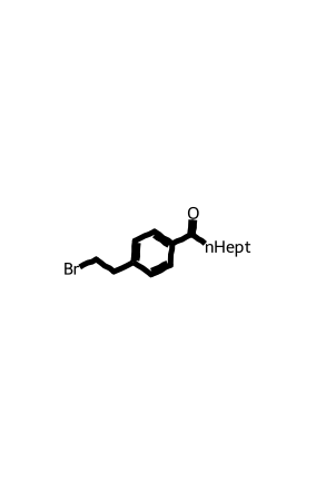 CCCCCCCC(=O)c1ccc(CCBr)cc1